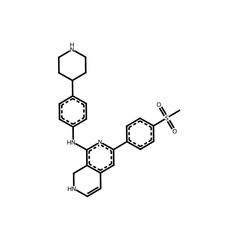 CS(=O)(=O)c1ccc(-c2cc3c(c(Nc4ccc(C5CCNCC5)cc4)n2)CNC=C3)cc1